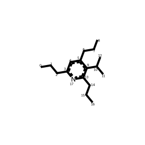 CCCc1cc(CCC)c(C(C)C)c(CCC)n1